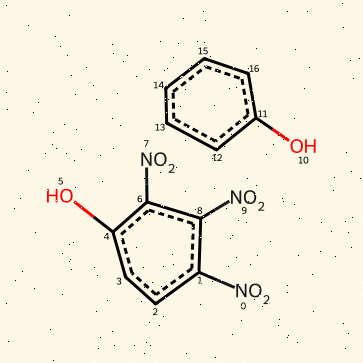 O=[N+]([O-])c1ccc(O)c([N+](=O)[O-])c1[N+](=O)[O-].Oc1ccccc1